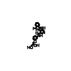 O=C(Nc1cccc(OC[C@@H](O)CO)c1)c1cncc2[nH]c(-c3ccccc3C(F)F)nc12